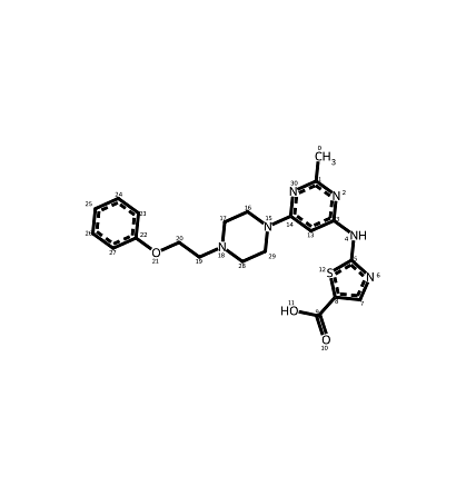 Cc1nc(Nc2ncc(C(=O)O)s2)cc(N2CCN(CCOc3ccccc3)CC2)n1